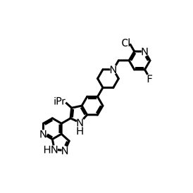 CC(C)c1c(-c2ccnc3[nH]ncc23)[nH]c2ccc(C3CCN(Cc4cc(F)cnc4Cl)CC3)cc12